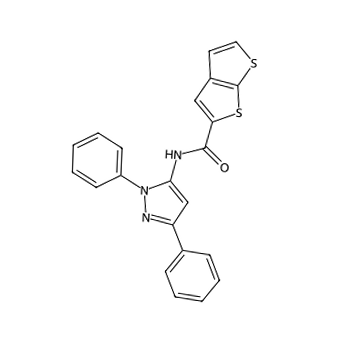 O=C(Nc1cc(-c2ccccc2)nn1-c1ccccc1)c1cc2ccsc2s1